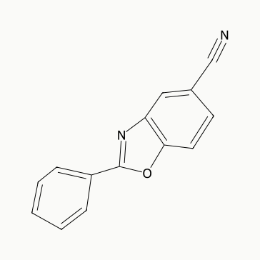 N#Cc1ccc2oc(-c3ccccc3)nc2c1